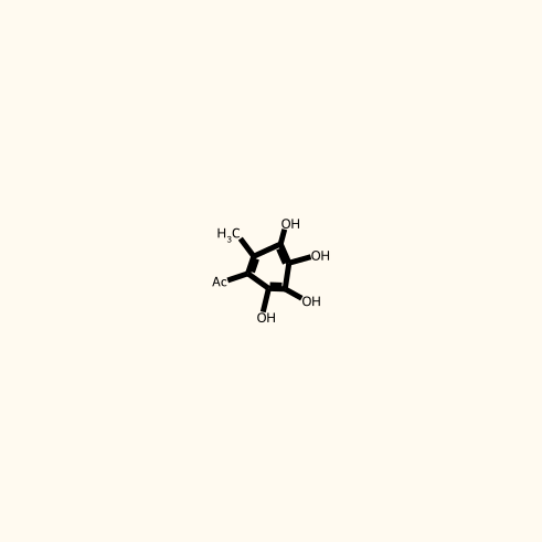 CC(=O)c1c(C)c(O)c(O)c(O)c1O